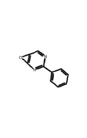 c1ccc(-c2ncc3c(n2)O3)cc1